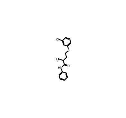 NC(CCSc1cccc(Cl)c1)C(=O)Nc1ccccc1